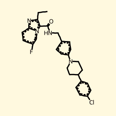 CCc1nc2ccc(F)cn2c1C(=O)NCc1ccc(N2CCC(c3ccc(Cl)cc3)CC2)cc1